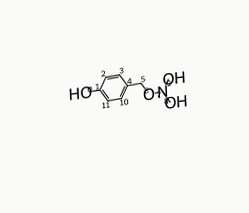 Oc1ccc(CON(O)O)cc1